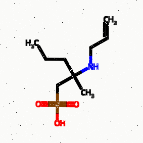 C=CCNC(C)(CCC)CS(=O)(=O)O